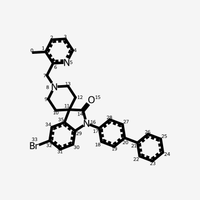 Cc1cccnc1CN1CCC2(CC1)C(=O)N(c1ccc(-c3ccccc3)cc1)c1ccc(Br)cc12